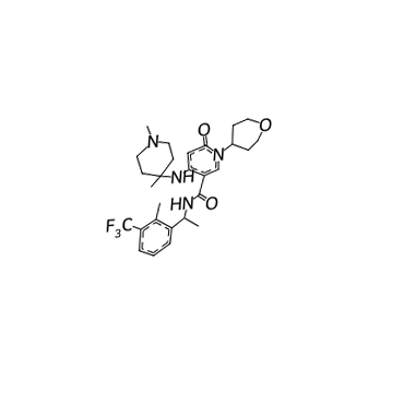 Cc1c(C(C)NC(=O)c2cn(C3CCOCC3)c(=O)cc2NC2(C)CCN(C)CC2)cccc1C(F)(F)F